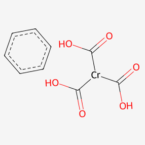 O=[C](O)[Cr]([C](=O)O)[C](=O)O.c1ccccc1